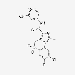 CC1=NC(C(=O)Nc2ccnc(Cl)c2)=C2CS(=O)(=O)c3cc(F)c(Cl)cc3[N+]12